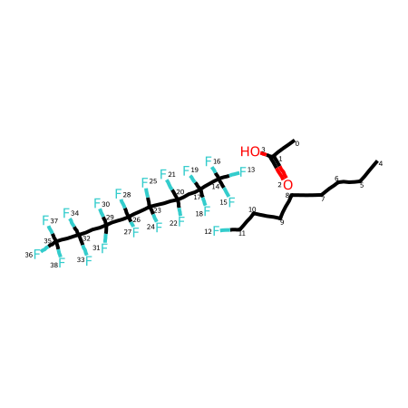 CC(=O)O.CCCCCCCCF.FC(F)(F)C(F)(F)C(F)(F)C(F)(F)C(F)(F)C(F)(F)C(F)(F)C(F)(F)F